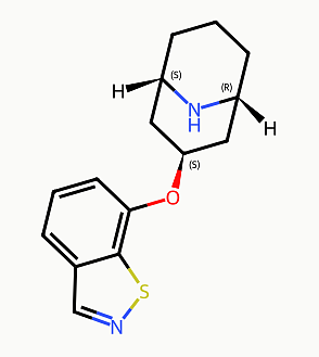 c1cc(O[C@@H]2C[C@H]3CCC[C@@H](C2)N3)c2sncc2c1